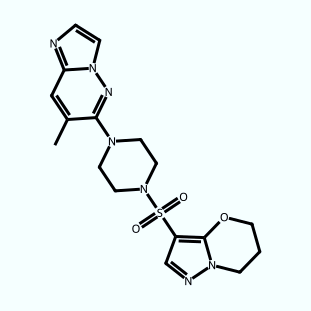 Cc1cc2nccn2nc1N1CCN(S(=O)(=O)c2cnn3c2OCCC3)CC1